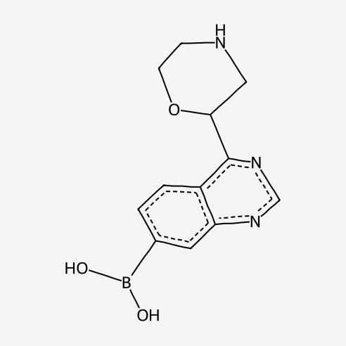 OB(O)c1ccc2c(C3CNCCO3)ncnc2c1